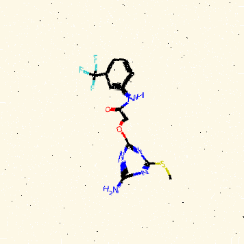 CSc1nc(N)nc(OCC(=O)Nc2cccc(C(F)(F)F)c2)n1